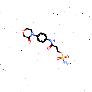 NS(=O)(=O)OCCC(=O)Nc1ccc(N2CCOCC2=O)cc1